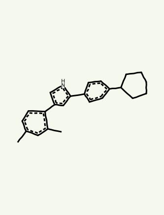 Cc1ccc(-c2c[nH]c(-c3ccc(C4CCCCC4)cc3)c2)c(C)c1